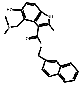 Cc1[nH]c2ccc(O)c(CN(C)C)c2c1C(=O)OCc1ccc2ccccc2c1